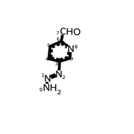 NN=Nc1ccc(C=O)nc1